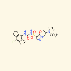 CN(C(=O)O)C1COc2c(S(=O)(=O)NC(=O)Nc3c4c(c(F)c5c3CCC5)CCC4)cnn2C1